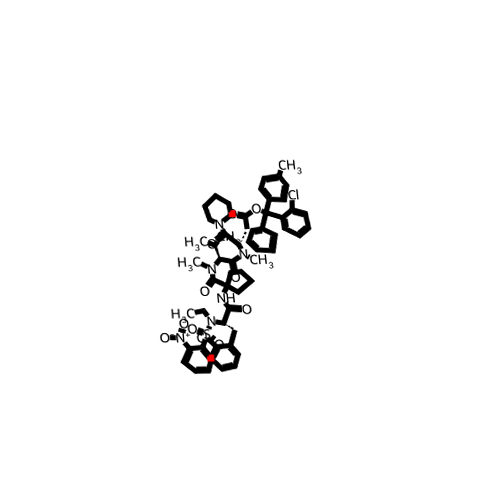 CCN([C@@H](Cc1ccccc1Cl)C(=O)NC1(C(=O)N(C)[C@H](C(=O)N(C)[C@@H](CC(=O)OC(c2ccccc2)(c2ccc(C)cc2)c2ccccc2Cl)C(=O)N2CCCCC2)C(C)C)CCCC1)S(=O)(=O)c1ccccc1[N+](=O)[O-]